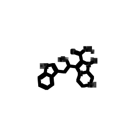 [2H]N1C(C(N)=O)=C(C(CCCC)Cc2c[nH]c3ccccc23)N2CCNCC12